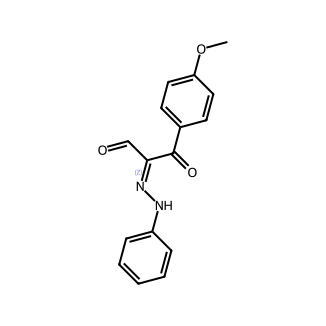 COc1ccc(C(=O)/C(C=O)=N\Nc2ccccc2)cc1